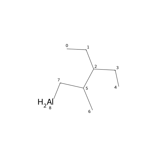 CCC(CC)C(C)[CH2][AlH2]